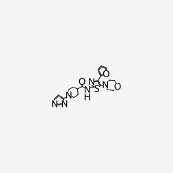 O=C(Nc1nc(-c2ccco2)c(N2CCOCC2)s1)C1CCN(c2ccncn2)CC1